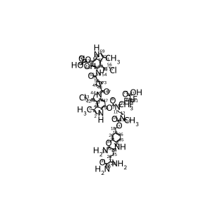 Cc1c[nH]c2c(OC(=O)N(C)CCN(C)C(=O)OCc3ccc(N[C@@H](CCC(N)C(N)=O)C(N)=O)cc3)cc3c(c12)[C@H](CCl)CN3C(=O)C12CC(C(=O)N3C[C@@H](CCl)c4c3cc(OP(=O)(O)O)c3[nH]cc(C)c43)(C1)C2.O=C(O)C(F)(F)F